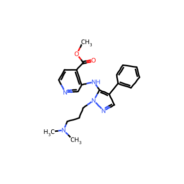 COC(=O)c1ccncc1Nc1c(-c2ccccc2)cnn1CCCN(C)C